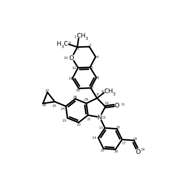 CC1(C)CCc2cc(C3(C)C(=O)N(c4cccc(C=O)c4)c4ccc(C5CC5)cc43)ccc2O1